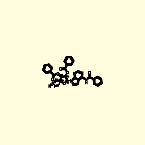 [N-]=[N+]=N[C@]1(CI)O[C@@H](n2ccc3c(NC(=O)c4ccccc4)ncnc32)[C@H](OC(=O)c2ccccc2)[C@@H]1OC(=O)c1ccccc1